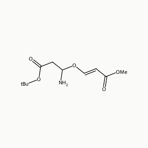 COC(=O)C=COC(N)CC(=O)OC(C)(C)C